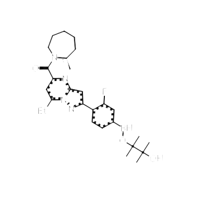 CCc1cc(C(=O)N2CCCCC[C@H]2C)nc2cc(-c3ccc(BOC(C)(C)C(C)(C)O)cc3F)nn12